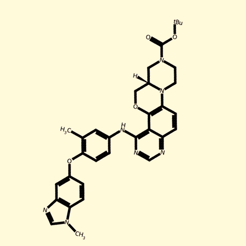 Cc1cc(Nc2ncnc3ccc4c(c23)OC[C@@H]2CN(C(=O)OC(C)(C)C)CCN42)ccc1Oc1ccc2c(c1)ncn2C